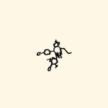 C=C(CCC)c1nn(C)cc1C(Nc1cc(F)c(=O)n(C)c1)c1ccc(Cl)cc1